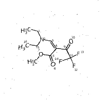 CCN(/C=C(\C(=O)OC)C(=O)C(F)(F)F)CC